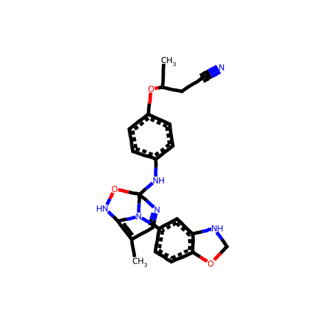 CC1=C2NOC(Nc3ccc(OC(C)CC#N)cc3)(N=C1)N2c1ccc2c(c1)NCO2